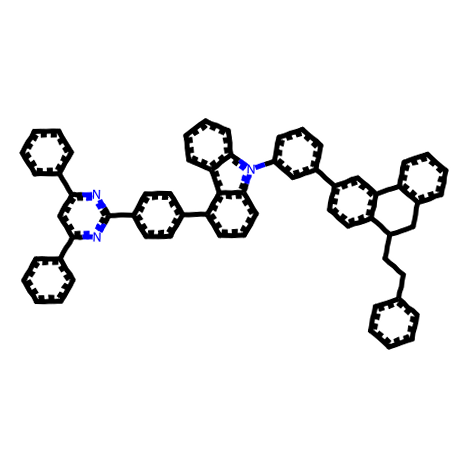 c1ccc(CCC2Cc3ccccc3-c3cc(-c4cccc(-n5c6ccccc6c6c(-c7ccc(-c8nc(-c9ccccc9)cc(-c9ccccc9)n8)cc7)cccc65)c4)ccc32)cc1